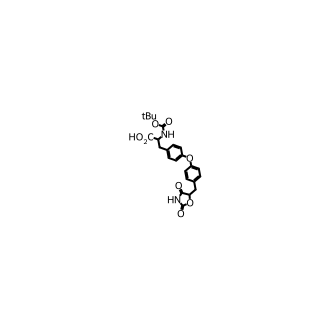 CC(C)(C)OC(=O)NC(Cc1ccc(Oc2ccc(CC3OC(=O)NC3=O)cc2)cc1)C(=O)O